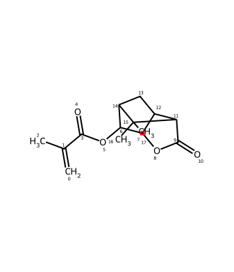 C=C(C)C(=O)OC1C2OC(=O)C3C2CC1C3(C)C